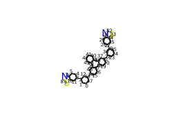 c1cc(-c2ccc3ncsc3c2)cc(-c2ccc3c4ccc(-c5cccc(-c6ccc7ncsc7c6)c5)cc4c4ccccc4c3c2)c1